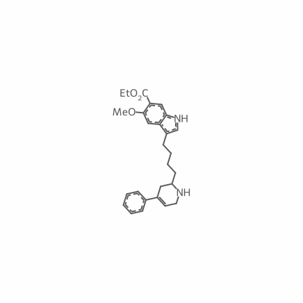 CCOC(=O)c1cc2[nH]cc(CCCCC3CC(c4ccccc4)=CCN3)c2cc1OC